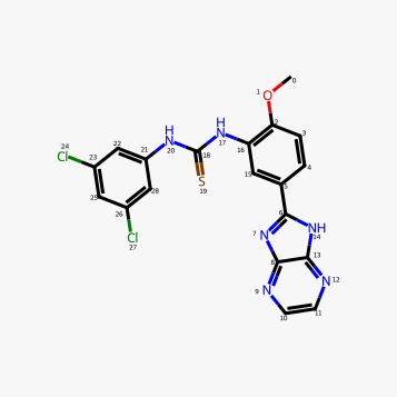 COc1ccc(-c2nc3nccnc3[nH]2)cc1NC(=S)Nc1cc(Cl)cc(Cl)c1